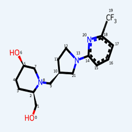 OC[C@H]1CC[C@@H](O)CN1C[C@H]1CCN(c2cccc(C(F)(F)F)n2)C1